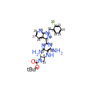 CC(C)(C)OC(=O)N1CC(Nc2c(N)nc(-c3nn(Cc4ccccc4F)c4ncccc34)nc2N)C1